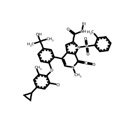 CCNC(=O)c1cc2c(n1S(=O)(=O)c1ccccc1C)C(=C=O)N(C)C=C2c1cc(C(C)(C)O)ccc1Oc1c(C)cc(C2CC2)cc1Cl